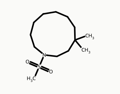 CC1(C)CCCCCCCN(S(C)(=O)=O)CC1